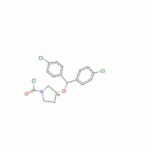 O=C(Cl)N1CC[C@@H](OC(c2ccc(Cl)cc2)c2ccc(Cl)cc2)C1